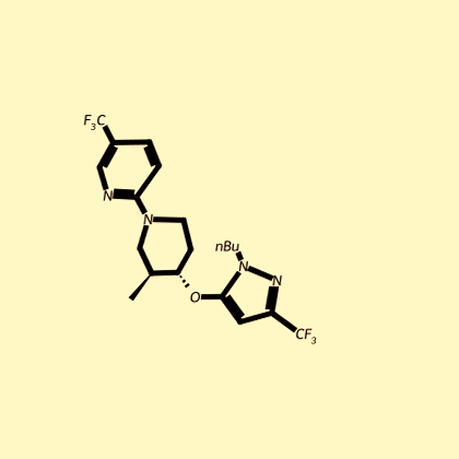 CCCCn1nc(C(F)(F)F)cc1O[C@H]1CCN(c2ccc(C(F)(F)F)cn2)C[C@@H]1C